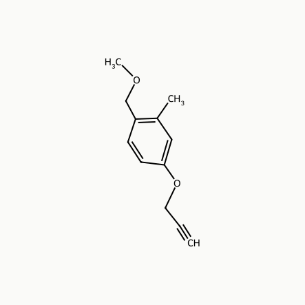 C#CCOc1ccc(COC)c(C)c1